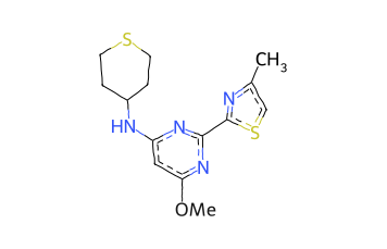 COc1cc(NC2CCSCC2)nc(-c2nc(C)cs2)n1